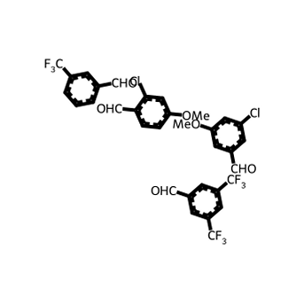 COc1cc(Cl)cc(C=O)c1.COc1ccc(C=O)c(Cl)c1.O=Cc1cc(C(F)(F)F)cc(C(F)(F)F)c1.O=Cc1cccc(C(F)(F)F)c1